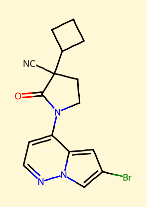 N#CC1(C2CCC2)CCN(c2ccnn3cc(Br)cc23)C1=O